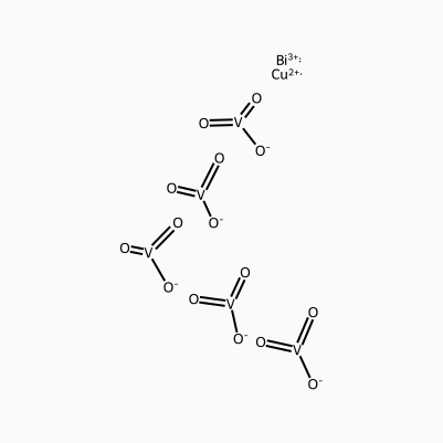 [Bi+3].[Cu+2].[O]=[V](=[O])[O-].[O]=[V](=[O])[O-].[O]=[V](=[O])[O-].[O]=[V](=[O])[O-].[O]=[V](=[O])[O-]